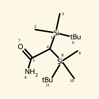 CC(C)(C)[Si](C)(C)C(C(N)=O)[Si](C)(C)C(C)(C)C